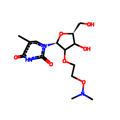 Cc1cn([C@@H]2O[C@H](CO)C(O)C2OCCON(C)C)c(=O)[nH]c1=O